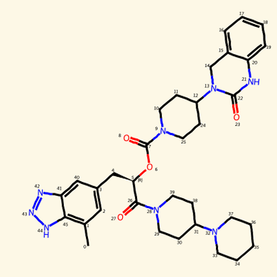 Cc1cc(C[C@@H](OC(=O)N2CCC(N3Cc4ccccc4NC3=O)CC2)C(=O)N2CCC(N3CCCCC3)CC2)cc2nn[nH]c12